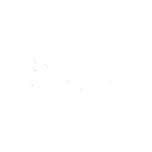 Cc1nc(-c2cc(C)c3nnnn3c2)ccc1-c1ccc(OC(F)(F)F)cc1